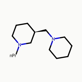 CCCN1CCC[C@@H](CN2CCCCC2)C1